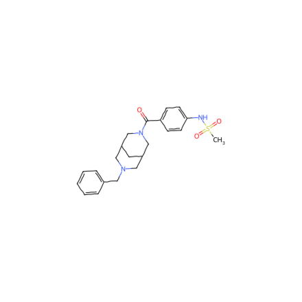 CS(=O)(=O)Nc1ccc(C(=O)N2CC3CC(CN(Cc4ccccc4)C3)C2)cc1